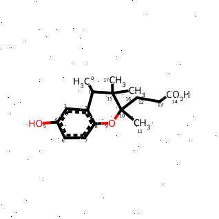 CC1c2cc(O)ccc2OC(C)(CCC(=O)O)C1(C)C